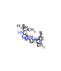 Cc1cc(Nc2cnc3nc(-c4cccc(Nc5cc(C)nc6ccc(C#N)cc56)c4)[nH]c3c2)cc(C)n1